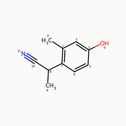 Cc1cc(O)ccc1C(C)C#N